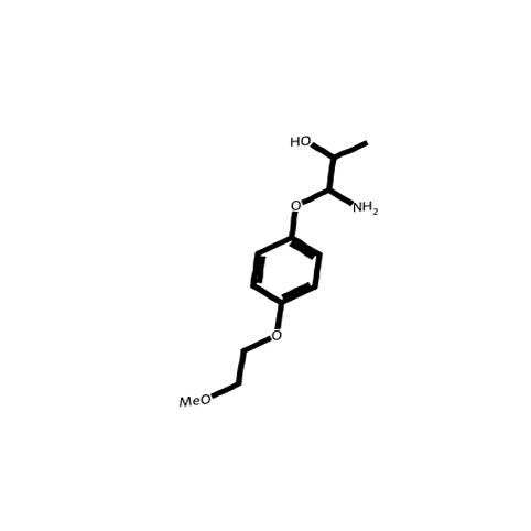 COCCOc1ccc(OC(N)C(C)O)cc1